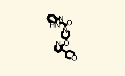 O=C(c1nc2ccccc2[nH]1)N1CCC(Oc2ncccc2C2CCOCC2)CC1